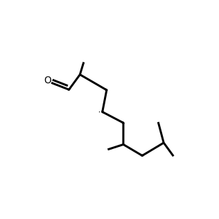 CC(C)CC(C)C[CH]CC(C)C=O